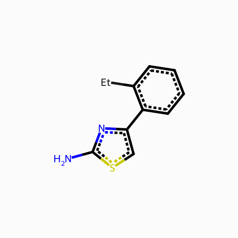 CCc1ccccc1-c1csc(N)n1